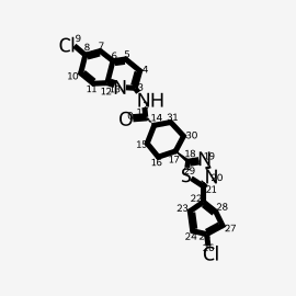 O=C(Nc1ccc2cc(Cl)ccc2n1)[C@H]1CC[C@H](c2nnc(-c3ccc(Cl)cc3)s2)CC1